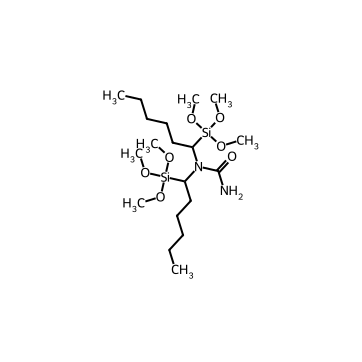 CCCCCC(N(C(N)=O)C(CCCCC)[Si](OC)(OC)OC)[Si](OC)(OC)OC